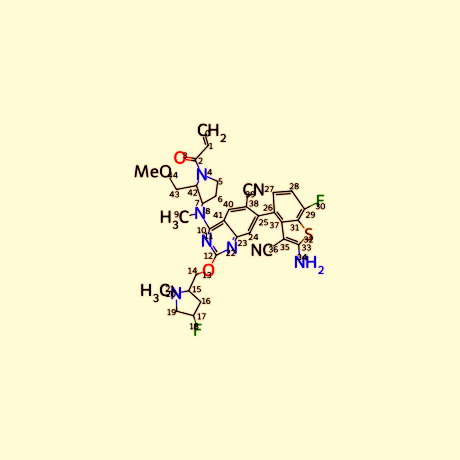 C=CC(=O)N1CCC(N(C)c2nc(OCC3CC(F)CN3C)nc3cc(-c4ccc(F)c5sc(N)c(C#N)c45)c(C#N)cc23)C1COC